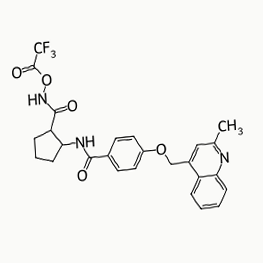 Cc1cc(COc2ccc(C(=O)NC3CCCC3C(=O)NOC(=O)C(F)(F)F)cc2)c2ccccc2n1